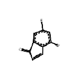 O=C1C=Cc2c(Br)cc(F)cc21